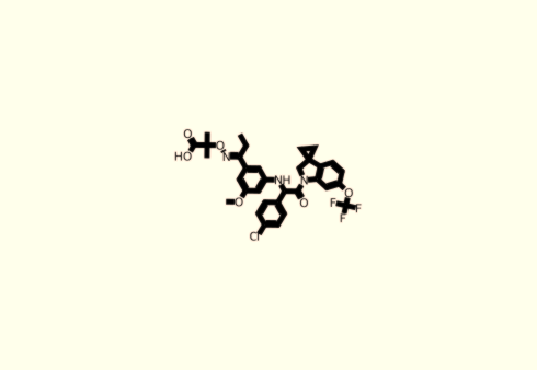 CCC(=NOC(C)(C)C(=O)O)c1cc(NC(C(=O)N2CC3(CC3)c3ccc(OC(F)(F)F)cc32)c2ccc(Cl)cc2)cc(OC)c1